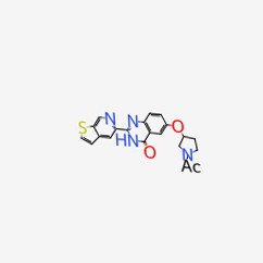 CC(=O)N1CCC(Oc2ccc3nc(-c4cc5ccsc5cn4)[nH]c(=O)c3c2)C1